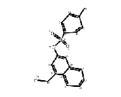 Cc1ccc(S(=O)(=O)Oc2cc(CCl)c3ccccc3c2)cc1